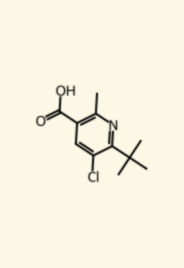 Cc1nc(C(C)(C)C)c(Cl)cc1C(=O)O